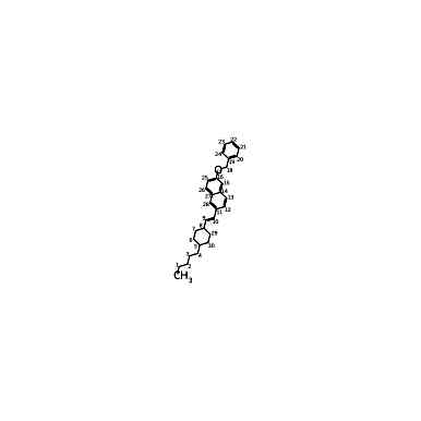 CCCCCC1CCC(C=Cc2ccc3cc(OCc4ccccc4)ccc3c2)CC1